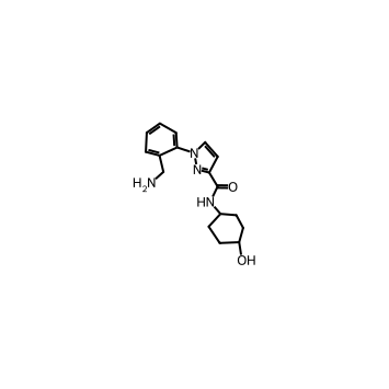 NCc1ccccc1-n1ccc(C(=O)NC2CCC(O)CC2)n1